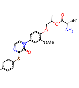 COc1cc(-n2ccnc(Sc3ccc(C)cc3)c2=O)ccc1OCC(C)OC(=O)[C@@H](N)C(C)C